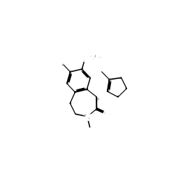 COc1cc2c(cc1Cl)CCN(C)C(=O)[C@H]2C1=C(C)CCC1